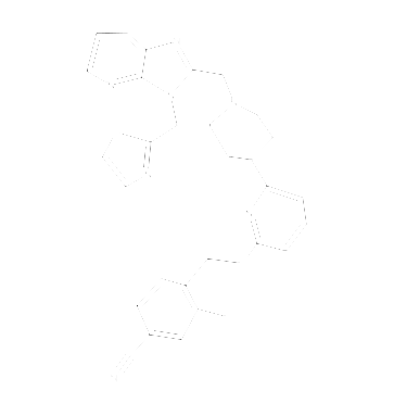 N#Cc1ccc(COc2cccc(C3CCN(Cc4nc5cccnc5n4Cc4ncco4)CC3)n2)c(F)c1